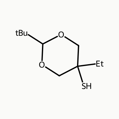 [CH2]CC1(S)COC(C(C)(C)C)OC1